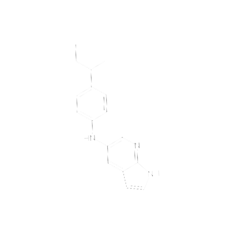 CCC(C)c1ccc(Nc2cnc3[nH]ccc3c2)cc1